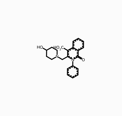 O=C(O)c1c(CN2CCC(O)CC2)n(-c2ccccc2)c(=O)c2ccccc12